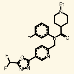 CCN1CCC(C(=O)N(Cc2ccc(-c3nnc(C(F)F)o3)cn2)c2cccc(F)c2)CC1